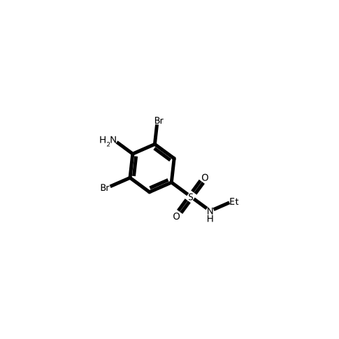 CCNS(=O)(=O)c1cc(Br)c(N)c(Br)c1